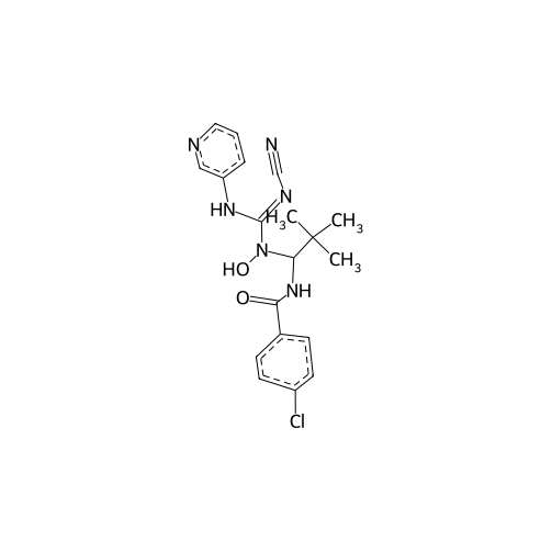 CC(C)(C)C(NC(=O)c1ccc(Cl)cc1)N(O)C(=NC#N)Nc1cccnc1